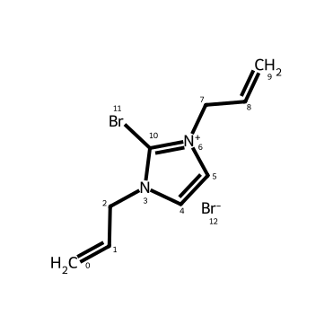 C=CCn1cc[n+](CC=C)c1Br.[Br-]